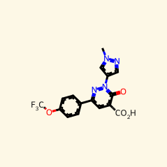 Cn1cc(-n2nc(-c3ccc(OC(F)(F)F)cc3)cc(C(=O)O)c2=O)cn1